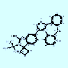 CC(C)(C)N(C(=O)O)C1(c2ccc(-c3nnc4n3-c3cccnc3Nc3ccccc3-4)cc2)CCC1